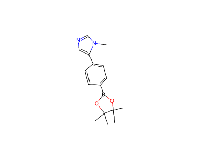 Cn1cncc1-c1ccc(B2OC(C)(C)C(C)(C)O2)cc1